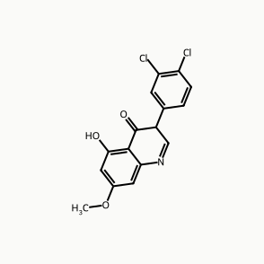 COc1cc(O)c2c(c1)N=CC(c1ccc(Cl)c(Cl)c1)C2=O